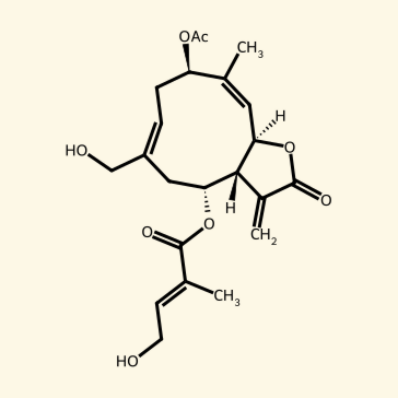 C=C1C(=O)O[C@@H]2/C=C(/C)[C@H](OC(C)=O)C/C=C(\CO)C[C@@H](OC(=O)/C(C)=C/CO)[C@@H]12